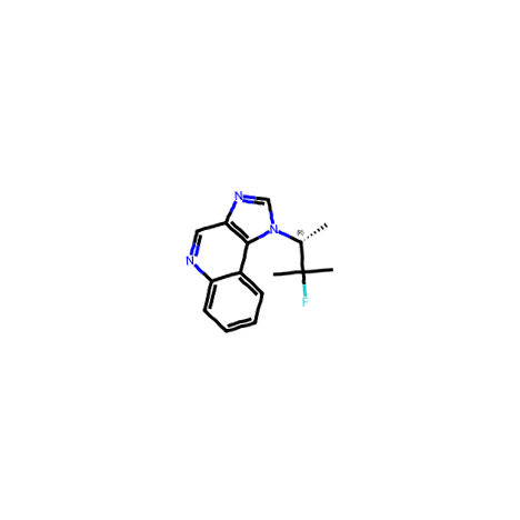 C[C@@H](n1cnc2cnc3ccccc3c21)C(C)(C)F